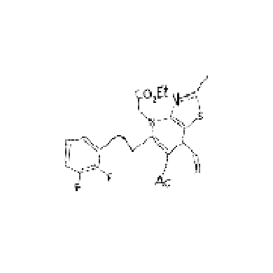 C=CC1C(C(C)=O)=C(CCc2cccc(F)c2F)N(CC(=O)OCC)c2nc(C)sc21